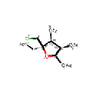 CC(=O)OC[C@@]1(CCl)OC(OC(C)=O)[C@H](OC(C)=O)[C@@H]1OC(C)=O